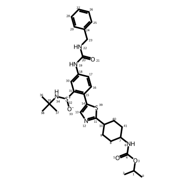 CC(C)OC(=O)NC1CCC(c2ncc(-c3ccc(NC(=O)NCc4ccccc4)cc3[S+]([O-])NC(C)(C)C)s2)CC1